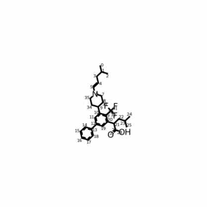 CC(C)CC=CN1CCC(c2cc(-c3ccccc3)cc(C(CC(C)C)C(=O)O)c2C(F)(F)F)CC1